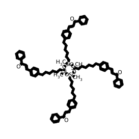 C[Si]1(CCCCCCc2ccc(C=CC(=O)c3ccccc3)cc2)O[Si](C)(CCCCCCc2ccc(C=CC(=O)c3ccccc3)cc2)O[Si](C)(CCCCCCc2ccc(C=CC(=O)c3ccccc3)cc2)O[Si](C)(CCCCCCc2ccc(C=CC(=O)c3ccccc3)cc2)O1